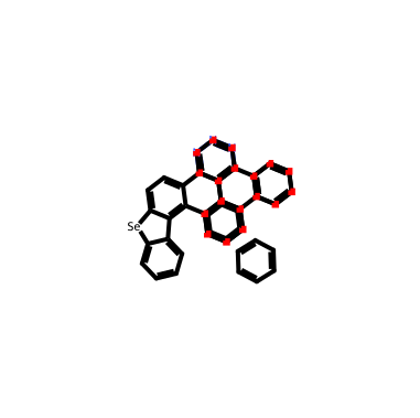 c1ccc(-c2ccccc2-c2c(-c3ccccc3)nnnc2-c2ccc3[se]c4ccccc4c3c2-c2ccccc2-c2ccccc2)cc1.c1ccccc1